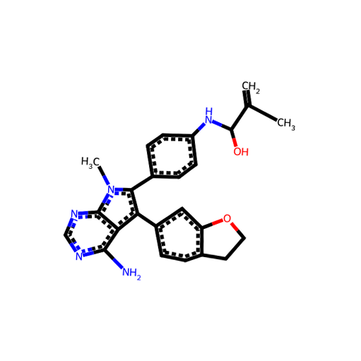 C=C(C)C(O)Nc1ccc(-c2c(-c3ccc4c(c3)OCC4)c3c(N)ncnc3n2C)cc1